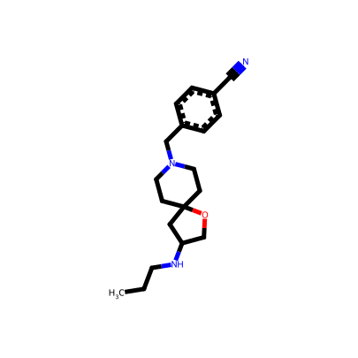 CCCNC1COC2(CCN(Cc3ccc(C#N)cc3)CC2)C1